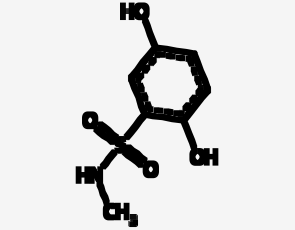 CNS(=O)(=O)c1cc(O)ccc1O